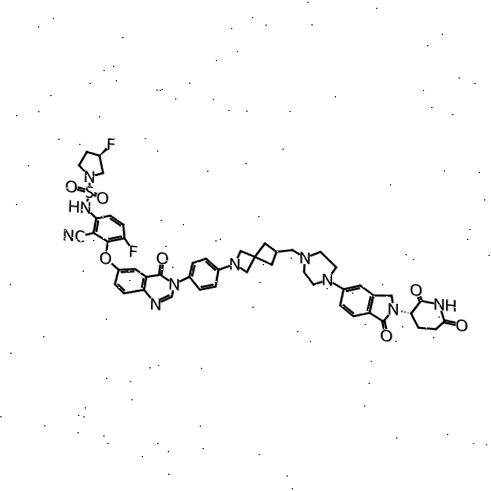 N#Cc1c(NS(=O)(=O)N2CC[C@@H](F)C2)ccc(F)c1Oc1ccc2ncn(-c3ccc(N4CC5(CC(CN6CCN(c7ccc8c(c7)CN([C@H]7CCC(=O)NC7=O)C8=O)CC6)C5)C4)cc3)c(=O)c2c1